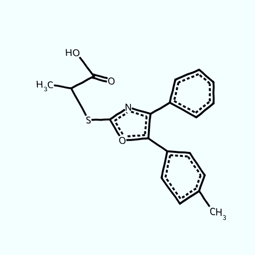 Cc1ccc(-c2oc(SC(C)C(=O)O)nc2-c2ccccc2)cc1